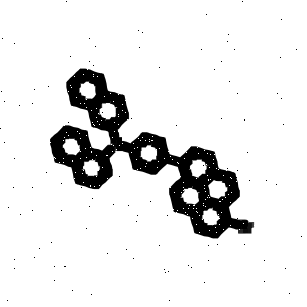 Brc1ccc2ccc3c(-c4ccc(N(c5ccc6ccccc6c5)c5cccc6ccccc56)cc4)ccc4ccc1c2c43